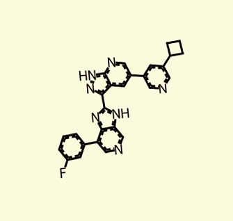 Fc1cccc(-c2cncc3[nH]c(-c4n[nH]c5ncc(-c6cncc(C7CCC7)c6)cc45)nc23)c1